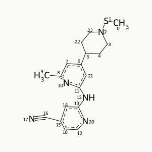 CSN1CCC(c2cc(C)nc(Nc3cc(C#N)ccn3)c2)CC1